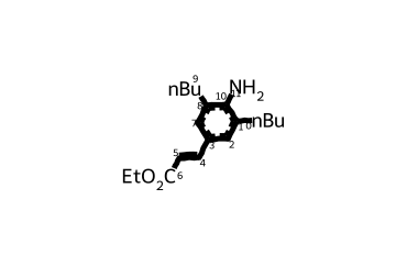 CCCCc1cc(/C=C/C(=O)OCC)cc(CCCC)c1N